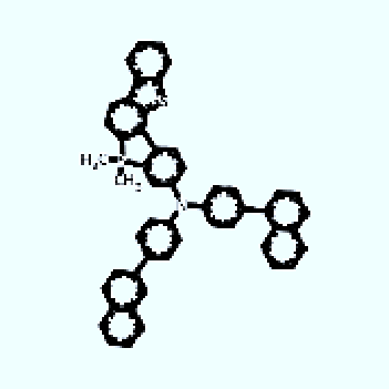 CS1(C)c2cc(N(c3ccc(-c4ccc5ccccc5c4)cc3)c3ccc(-c4cccc5ccccc45)cc3)ccc2-c2c1ccc1c2sc2ccccc21